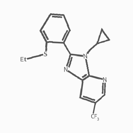 CCSc1ccccc1-c1nc2cc(C(F)(F)F)cnc2n1C1CC1